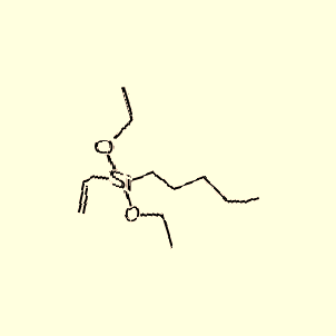 C=C[Si](CCCCC)(OCC)OCC